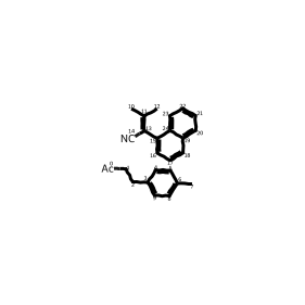 CC(=O)CCc1ccc(C)cc1.CC(C)=C(C#N)c1cccc2ccccc12